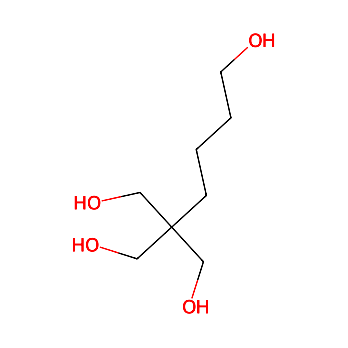 OCCCCC(CO)(CO)CO